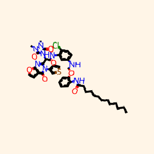 CCCCCCCCCCCCC(=O)Nc1ccccc1OCNc1ccc(Cl)c(NC(=O)C(c2nc3occc3c(=O)n2-c2ccsc2)n2c(=O)n(C)n(C)c2=O)c1